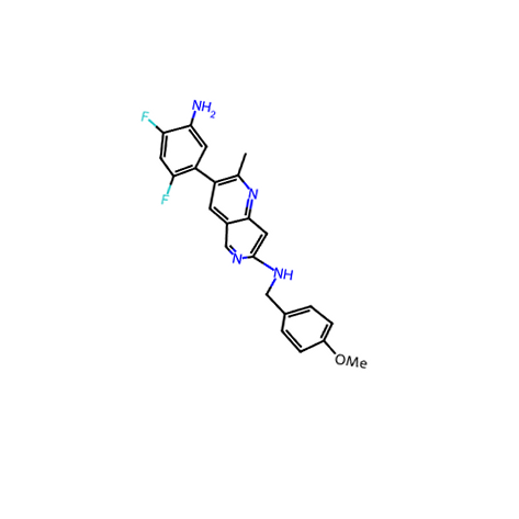 COc1ccc(CNc2cc3nc(C)c(-c4cc(N)c(F)cc4F)cc3cn2)cc1